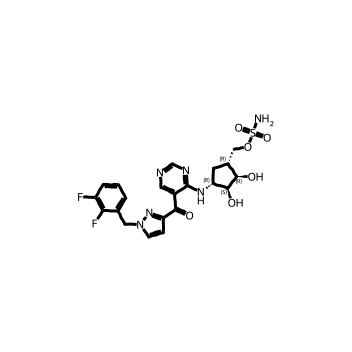 NS(=O)(=O)OC[C@H]1C[C@@H](Nc2ncncc2C(=O)c2ccn(Cc3cccc(F)c3F)n2)[C@H](O)[C@@H]1O